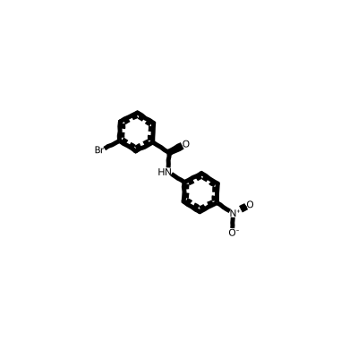 O=C(Nc1ccc([N+](=O)[O-])cc1)c1cccc(Br)c1